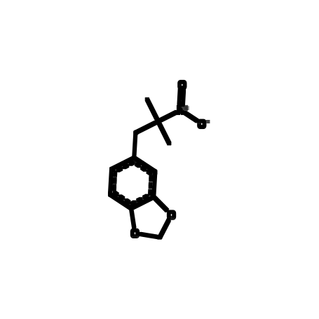 CC(C)(Cc1ccc2c(c1)OCO2)[N+](=O)[O-]